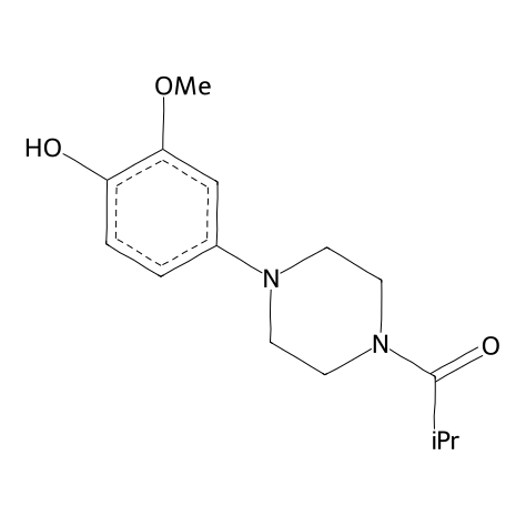 COc1cc(N2CCN(C(=O)C(C)C)CC2)ccc1O